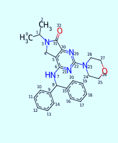 CC(C)N1Cc2c(NC(c3ccccc3)c3ccccc3)nc(N3CCOCC3)nc2C1=O